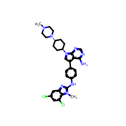 CN1CCN([C@H]2CC[C@H](n3cc(-c4ccc(Nc5nc6cc(Cl)cc(Cl)c6n5C)cc4)c4c(N)ncnc43)CC2)CC1